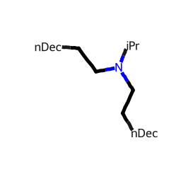 CCCCCCCCCCCCN(CCCCCCCCCCCC)C(C)C